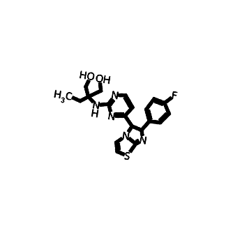 CCC(CO)(CO)Nc1nccc(C2C(c3ccc(F)cc3)N=C3SC=CN32)n1